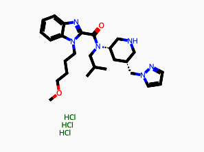 COCCCCn1c(C(=O)N(CC(C)C)[C@@H]2CNC[C@H](Cn3cccn3)C2)nc2ccccc21.Cl.Cl.Cl